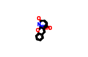 CC1(O)C2=CC(=O)N(C3Oc4ccccc4C=C3C2=O)[N+]1(C)C